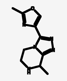 Cc1nc(-c2nnc3n2CCNC3C)co1